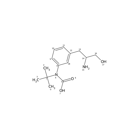 CC(C)(C)N(C(=O)O)c1cccc(CC(N)CO)c1